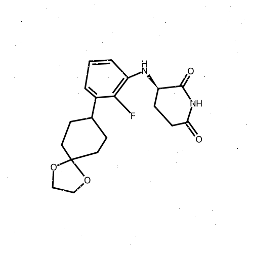 O=C1CC[C@@H](Nc2cccc(C3CCC4(CC3)OCCO4)c2F)C(=O)N1